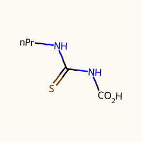 CCCNC(=S)NC(=O)O